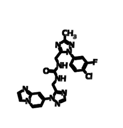 Cc1nc(CNC(=O)NCc2ncnn2-c2ccn3ccnc3c2)n(-c2ccc(Cl)c(F)c2)n1